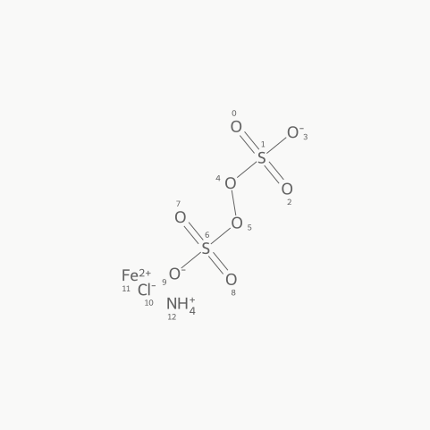 O=S(=O)([O-])OOS(=O)(=O)[O-].[Cl-].[Fe+2].[NH4+]